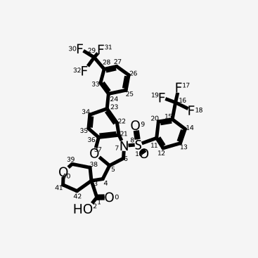 O=C(O)C1(CC2CN(S(=O)(=O)c3cccc(C(F)(F)F)c3)c3cc(-c4cccc(C(F)(F)F)c4)ccc3O2)CCOCC1